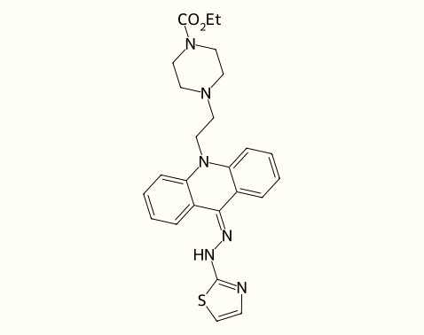 CCOC(=O)N1CCN(CCn2c3ccccc3c(=NNc3nccs3)c3ccccc32)CC1